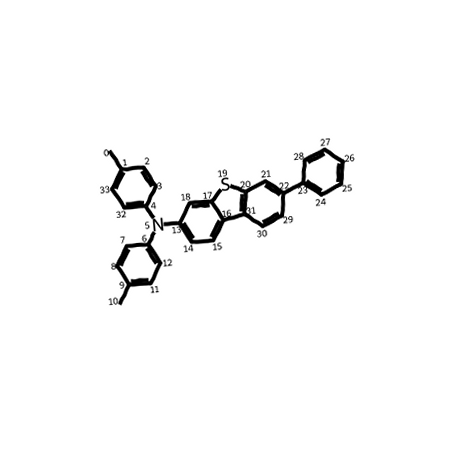 Cc1ccc(N(c2ccc(C)cc2)c2ccc3c(c2)sc2cc(-c4ccccc4)ccc23)cc1